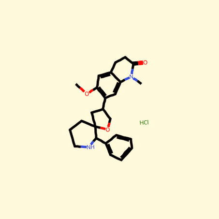 COc1cc2c(cc1C1COC3(CCCNC3c3ccccc3)C1)N(C)C(=O)CC2.Cl